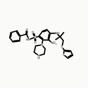 CC(C)(CSc1cccs1)Nc1ccc(S(=O)(=O)NC(=O)c2ccccc2)c(N2CCNCC2)c1[N+](=O)[O-]